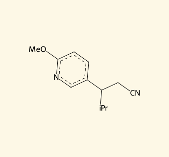 COc1ccc(C(CC#N)C(C)C)cn1